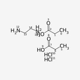 CCC(=O)O.CCC(=O)O.Cl.Cl.NCCN